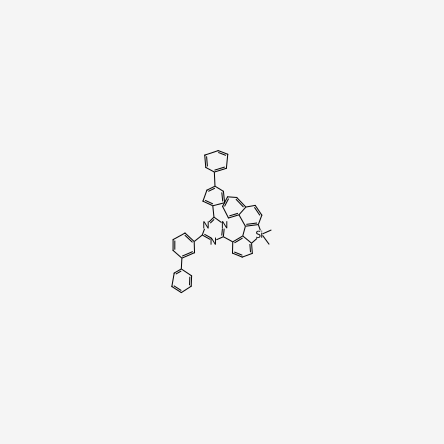 C[Si]1(C)c2cccc(-c3nc(-c4ccc(-c5ccccc5)cc4)nc(-c4cccc(-c5ccccc5)c4)n3)c2-c2c1ccc1ccccc21